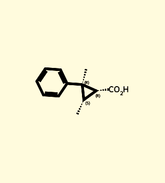 C[C@H]1[C@@H](C(=O)O)[C@]1(C)c1ccccc1